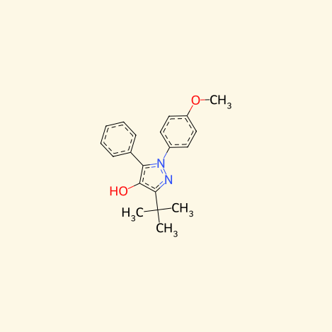 COc1ccc(-n2nc(C(C)(C)C)c(O)c2-c2ccccc2)cc1